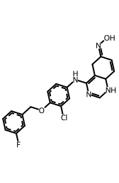 ON=C1C=CC2NC=NC(Nc3ccc(OCc4cccc(F)c4)c(Cl)c3)=C2C1